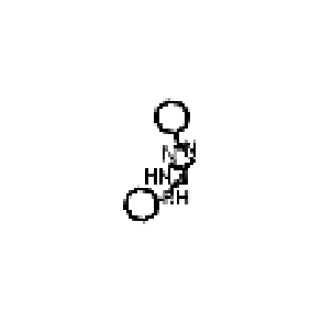 B(c1cc2cnc(C3CCCCCCC3)nc2[nH]1)C1CCCCCCC1